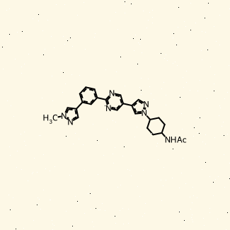 CC(=O)NC1CCC(n2cc(-c3cnc(-c4cccc(-c5cnn(C)c5)c4)nc3)cn2)CC1